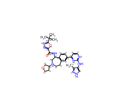 Cc1n[nH]cc1Nc1nccc(-c2ccc3c(c2)CCN(C2CCOC2)CC3NC(=O)c2nnc(C(C)(C)C)o2)n1